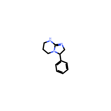 c1ccc(C2CN=C3NCCCN32)cc1